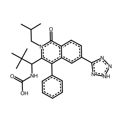 CC(C)Cn1c(C(NC(=O)O)C(C)(C)C)c(-c2ccccc2)c2cc(-c3nn[nH]n3)ccc2c1=O